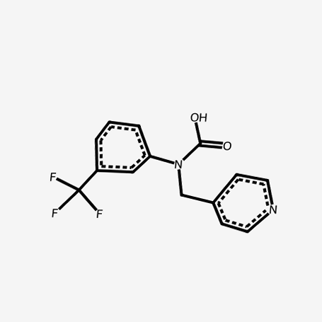 O=C(O)N(Cc1ccncc1)c1cccc(C(F)(F)F)c1